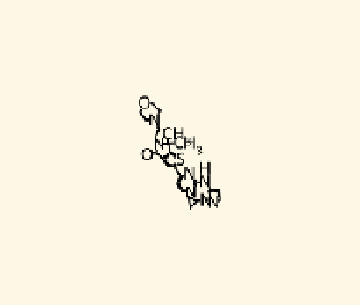 CC1(C)c2sc(-c3ccnc(Nc4ccnn4C4CC4)n3)cc2C(=O)N1CCN1CCOCC1